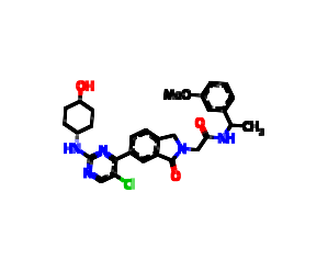 COc1cccc(C(C)NC(=O)CN2Cc3ccc(-c4nc(N[C@H]5CC[C@H](O)CC5)ncc4Cl)cc3C2=O)c1